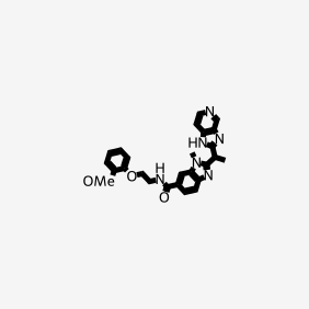 COc1ccccc1OCCNC(=O)c1ccc2nc(C(C)c3nc4cnccc4[nH]3)n(C)c2c1